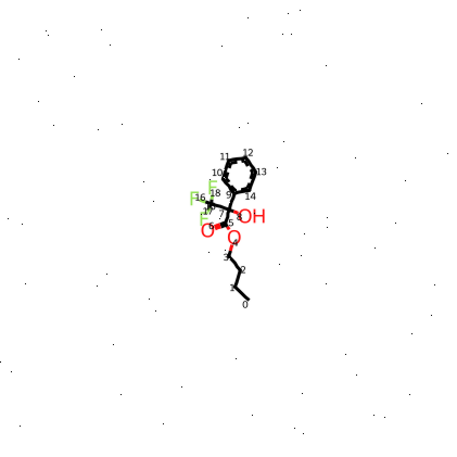 CCCCOC(=O)C(O)(c1ccccc1)C(F)(F)F